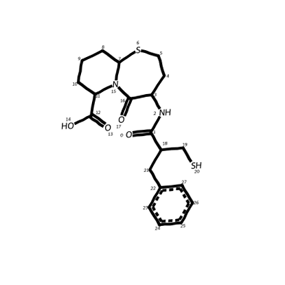 O=C(NC1CCSC2CCCC(C(=O)O)N2C1=O)C(CS)Cc1ccccc1